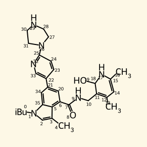 CCC(C)n1cc(C)c2c(C(=O)NCC3=C(C)C=C(C)NC3O)cc(-c3ccc(N4CCNCC4)nc3)cc21